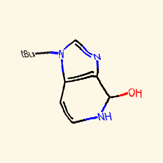 CC(C)(C)n1cnc2c1C=CNC2O